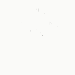 Cc1ccsc1-c1noc(N)c1C(=O)NCCC(c1ccccc1)c1ccccc1